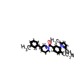 Cc1cccc(C2CCCN(C(=O)c3ccc(C(=O)O)c(-n4c(C)ccc4C)c3)C2)c1